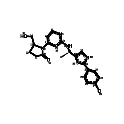 C[C@H](Nc1nccc(N2C(=O)CCC2CO)n1)c1cnc(-c2ccc(Cl)cc2)s1